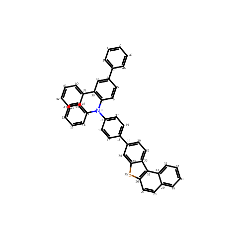 c1ccc(-c2ccc(N(c3ccccc3)c3ccc(-c4ccc5c(c4)sc4ccc6ccccc6c45)cc3)c(-c3ccccc3)c2)cc1